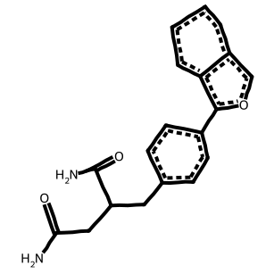 NC(=O)CC(Cc1ccc(-c2occ3ccccc23)cc1)C(N)=O